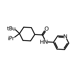 CC(C)C1(C(C)(C)C)CCC(C(=O)Nc2cccnc2)CC1